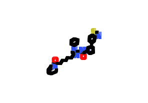 O=C(Nc1nc(CCCCCC(=O)N2CCCCCC2)cn1-c1ccccc1)c1cccc(-c2ccc3scnc3c2)c1